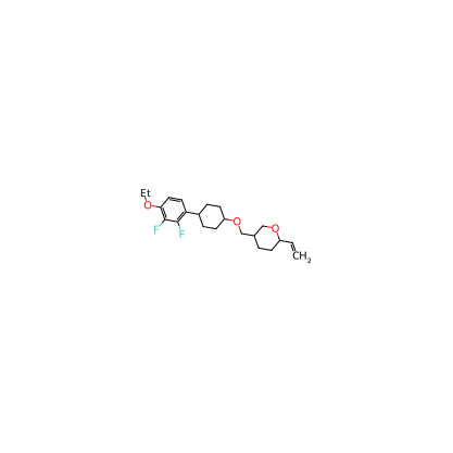 C=CC1CCC(COC2CCC(c3ccc(OCC)c(F)c3F)CC2)CO1